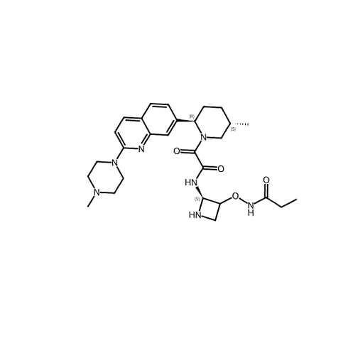 CCC(=O)NOC1CN[C@H]1NC(=O)C(=O)N1C[C@@H](C)CC[C@@H]1c1ccc2ccc(N3CCN(C)CC3)nc2c1